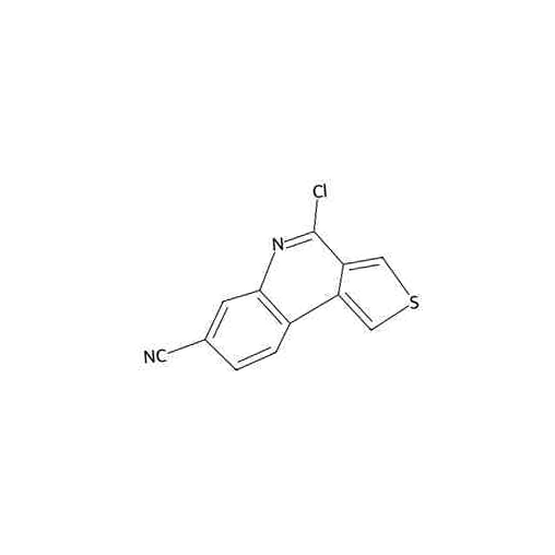 N#Cc1ccc2c(c1)nc(Cl)c1cscc12